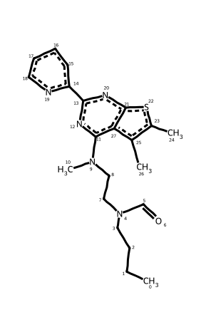 CCCCN(C=O)CCN(C)c1nc(-c2ccccn2)nc2sc(C)c(C)c12